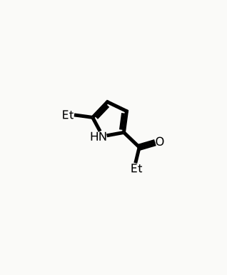 CCC(=O)c1ccc(CC)[nH]1